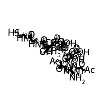 CC(=O)CC(=O)c1nc(N)c2nc(C(=O)CC(C)=O)n([C@@H]3O[C@H](COP(=O)(O)OP(=O)(O)OCC(C)(C)[C@@H](O)C(=O)NCCC(=O)NCCS)[C@@H](OP(=O)(O)O)[C@H]3O)c2n1